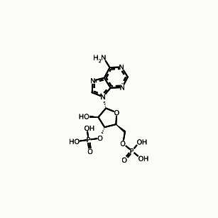 Nc1ncnc2c1ncn2[C@@H]1O[C@@H](COP(=O)(O)O)[C@H](OP(=O)(O)O)[C@H]1O